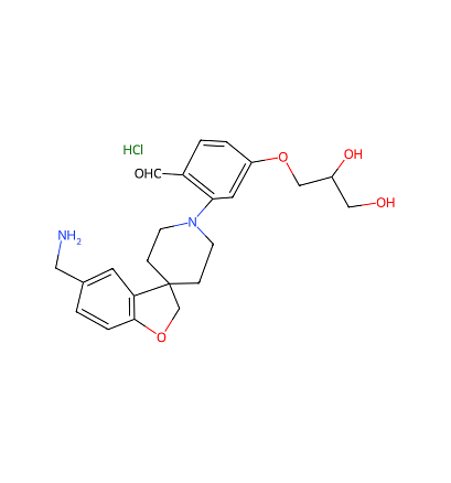 Cl.NCc1ccc2c(c1)C1(CCN(c3cc(OCC(O)CO)ccc3C=O)CC1)CO2